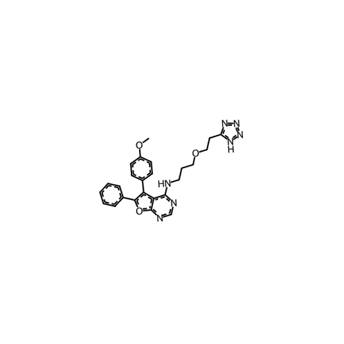 COc1ccc(-c2c(-c3ccccc3)oc3ncnc(NCCCOCCc4nnn[nH]4)c23)cc1